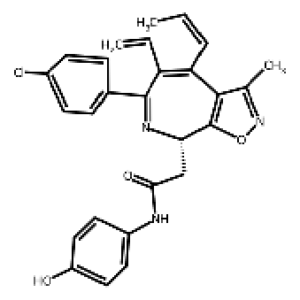 C=CC1=C(/C=C\C)c2c(C)noc2[C@H](CC(=O)Nc2ccc(O)cc2)N=C1c1ccc(Cl)cc1